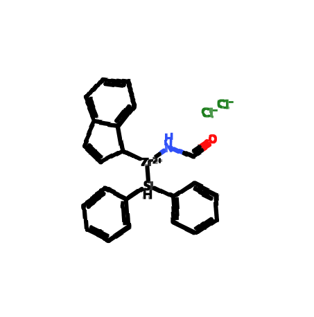 O=C[NH][Zr+2]([CH]1C=Cc2ccccc21)[SiH](c1ccccc1)c1ccccc1.[Cl-].[Cl-]